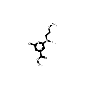 COCCN(C)c1cc(C(=O)OC)cc(Cl)n1